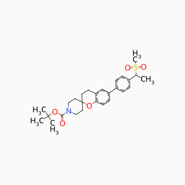 CC(c1ccc(-c2ccc3c(c2)CCC2(CCN(C(=O)OC(C)(C)C)CC2)O3)cc1)S(C)(=O)=O